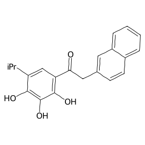 CC(C)c1cc(C(=O)Cc2ccc3ccccc3c2)c(O)c(O)c1O